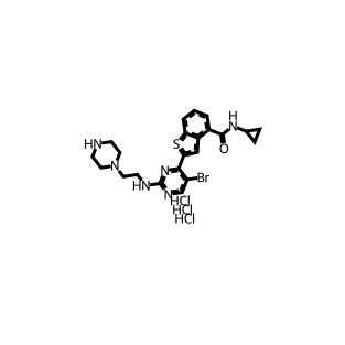 Cl.Cl.Cl.O=C(NC1CC1)c1cccc2sc(-c3nc(NCCN4CCNCC4)ncc3Br)cc12